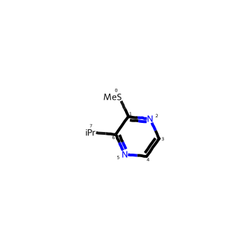 CSc1nccnc1C(C)C